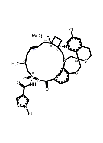 CCn1cc(C(=O)N[S@@]2(=O)=NC(=O)c3ccc4c(c3)N(C[C@@H]3CC[C@H]3[C@@H](OC)/C=C/C[C@H](C)C2)C[C@]2(CO4)SCCc3cc(Cl)ccc32)cn1